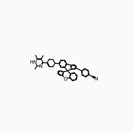 CC1=C(C)C(C2=CCC(c3ccc4c(c3)C3(c5ccccc5Oc5ccccc53)c3cc(-c5ccc(C#N)cc5)ccc3-4)CC2)=NC(C)N1